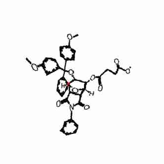 COC(=O)CCC(=O)O[C@@H]1[C@H](OC(c2ccccc2)(c2ccc(OC)cc2)c2ccc(OC)cc2)[C@@H]2O[C@H]1C1C(=O)N(c3ccccc3)C(=O)C12